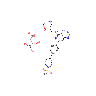 CS(=O)(=O)N1CCC(c2ccc(-c3cc4nccnc4c(NCC4CNCCO4)n3)cc2)CC1.O=C(O)CC(O)C(=O)O